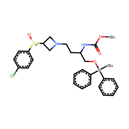 CC(C)(C)OC(=O)NC(CCN1CC([S@+]([O-])c2ccc(Cl)cc2)C1)CO[Si](c1ccccc1)(c1ccccc1)C(C)(C)C